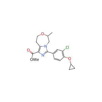 COC(=O)c1nc(-c2ccc(OC3CC3)c(Cl)c2)n2c1CCOC(C)C2